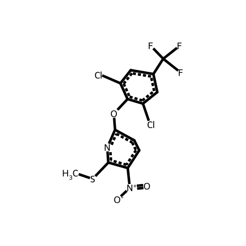 CSc1nc(Oc2c(Cl)cc(C(F)(F)F)cc2Cl)ccc1[N+](=O)[O-]